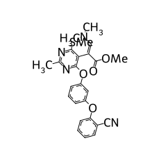 COC(=O)/C(=C/N(C)C)c1c(Oc2cccc(Oc3ccccc3C#N)c2)nc(C)nc1SC